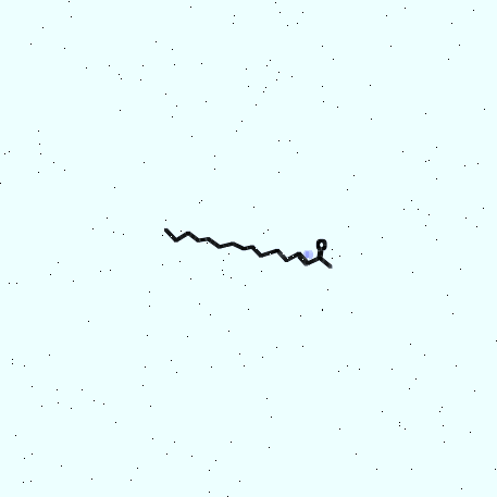 CCCCCCCCCCCC/C=C/C(C)=O